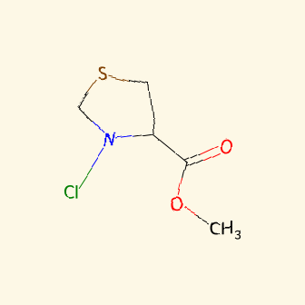 COC(=O)C1CSCN1Cl